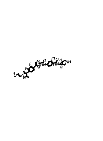 COCCn1nc(C)c(-c2ccc(-c3cnc(C(=O)Nc4ccc(C(=O)N[C@H]5[C@@H]6CNC[C@@H]65)c(Cl)c4)n3C)c(F)c2F)c1C